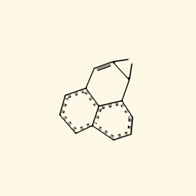 C1=C2OC2c2cccc3cccc1c23